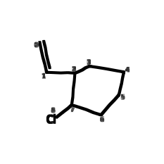 C=CC1CCCCC1Cl